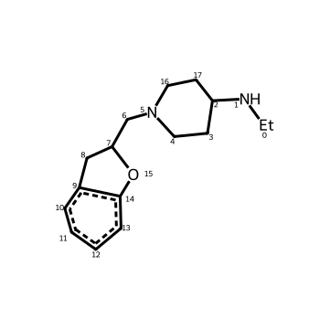 CCNC1CCN(CC2Cc3ccccc3O2)CC1